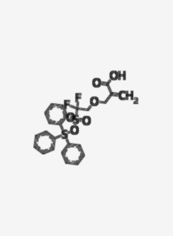 C=C(COCC(F)(F)S(=O)(=O)OS(c1ccccc1)(c1ccccc1)c1ccccc1)C(=O)O